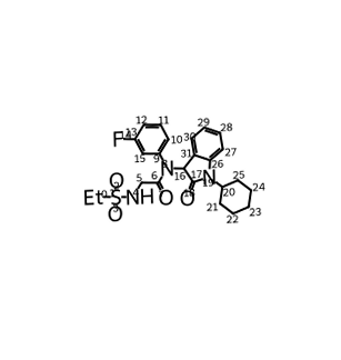 CCS(=O)(=O)NCC(=O)N(c1cccc(F)c1)C1C(=O)N(C2CCCCC2)c2ccccc21